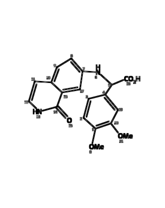 COc1ccc(C(Nc2ccc3cc[nH]c(=O)c3c2)C(=O)O)cc1OC